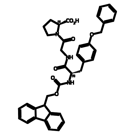 O=C(N[C@@H](Cc1ccc(OCc2ccccc2)cc1)C(=O)NCC(=O)N1CCC[C@H]1C(=O)O)OCC1c2ccccc2-c2ccccc21